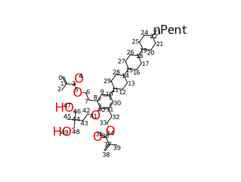 C=C(C)C(=O)OCCc1cc(C2CCC(C3CCC(C4CCC(CCCCC)CC4)CC3)CC2)cc(CCOC(=O)C(=C)C)c1OCCC(C)(CO)CO